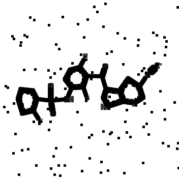 [C-]#[N+]c1cnc2[nH]cc(C(=O)c3c(F)ccc(NS(=O)(=O)c4ccccc4F)c3F)c2c1